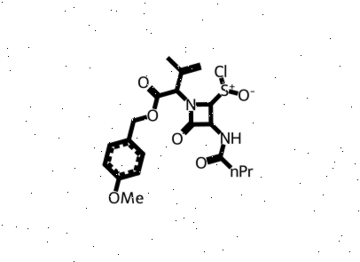 C=C(C)C(C(=O)OCc1ccc(OC)cc1)N1C(=O)C(NC(=O)CCC)C1[S+]([O-])Cl